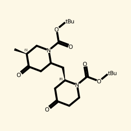 C[C@H]1CN(C(=O)OC(C)(C)C)C(C[C@@H]2CC(=O)CCN2C(=O)OC(C)(C)C)CC1=O